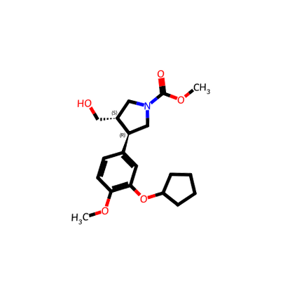 COC(=O)N1C[C@@H](CO)[C@H](c2ccc(OC)c(OC3CCCC3)c2)C1